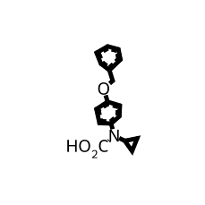 O=C(O)N(c1ccc(OCc2ccccc2)cc1)C1CC1